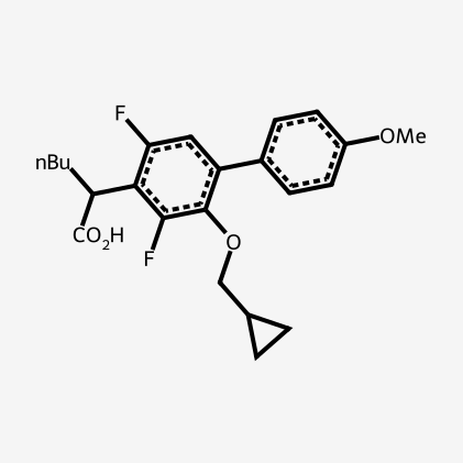 CCCCC(C(=O)O)c1c(F)cc(-c2ccc(OC)cc2)c(OCC2CC2)c1F